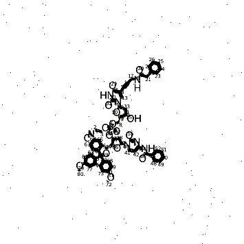 [C-]#[N+]CCOP(=O)(OC[C@H]1O[C@@H](n2cc(C#CCNC(=O)Cc3ccccc3)c(=O)[nH]c2=O)C[C@H]1O)O[C@@H]1C[C@H](n2ccc(NC(=O)c3ccccc3)nc2=O)O[C@@H]1COC(c1ccccc1)(c1ccc(OC)cc1)c1ccc(OC)cc1